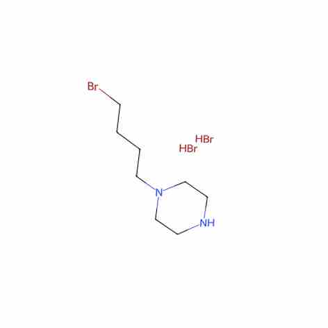 Br.Br.BrCCCCN1CCNCC1